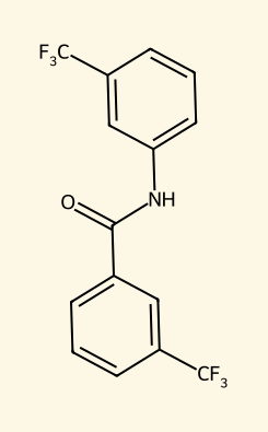 O=C(Nc1cccc(C(F)(F)F)c1)c1cccc(C(F)(F)F)c1